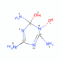 NC1=NC(N)(O)N(O)C(N)=N1